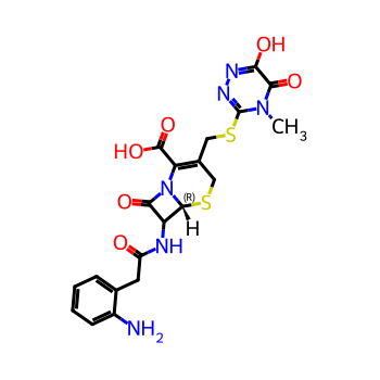 Cn1c(SCC2=C(C(=O)O)N3C(=O)C(NC(=O)Cc4ccccc4N)[C@H]3SC2)nnc(O)c1=O